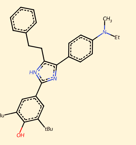 CCN(C)c1ccc(-c2nc(-c3cc(C(C)(C)C)c(O)c(C(C)(C)C)c3)[nH]c2CCc2ccccc2)cc1